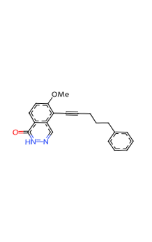 COc1ccc2c(=O)[nH]ncc2c1C#CCCCc1ccccc1